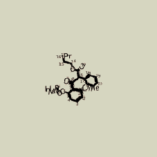 COc1cccc(OC)c1C(=O)C(C(=O)OCCC(C)C)c1ccccc1.O=[PH3]